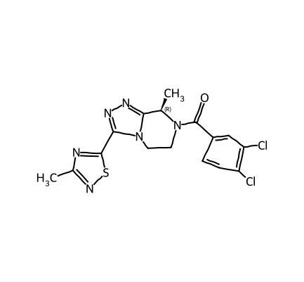 Cc1nsc(-c2nnc3n2CCN(C(=O)c2ccc(Cl)c(Cl)c2)[C@@H]3C)n1